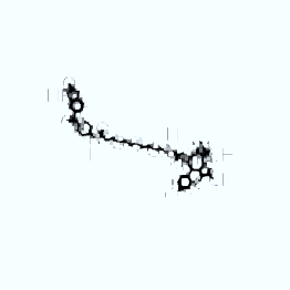 Cc1sc2c(c1C)C(c1ccc(Cl)cc1)=N[C@@H](CC(=O)NCCOCCOCCOCCC(=O)NC1CCN(C(=O)c3ccc4c(c3)NC(=O)C4)CC1)c1nnc(C)n1-2